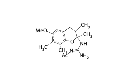 COc1cc2c(c(C)c1C)OC(C)(NC(N)=NC(C)=O)C(C)C2